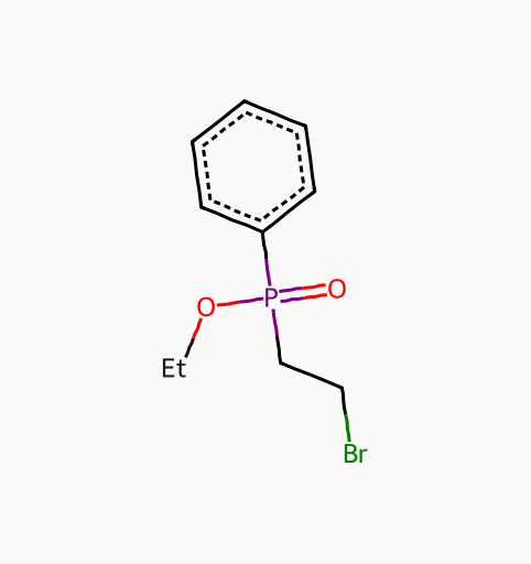 CCOP(=O)(CCBr)c1ccccc1